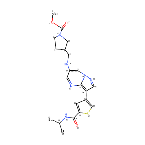 CCCCOC(=O)N1CCC(CNc2cnc3c(-c4csc(C(=O)NC(CC)CC)c4)cnn3c2)C1